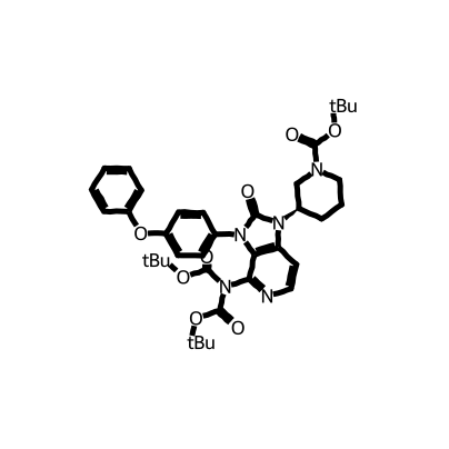 CC(C)(C)OC(=O)N1CCC[C@@H](n2c(=O)n(-c3ccc(Oc4ccccc4)cc3)c3c(N(C(=O)OC(C)(C)C)C(=O)OC(C)(C)C)nccc32)C1